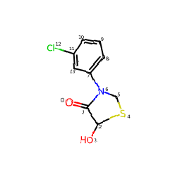 O=C1C(O)SCN1c1cccc(Cl)c1